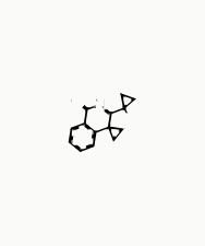 O=C1N=C(C2(F)CC2)C2(CC2)c2ccccc21